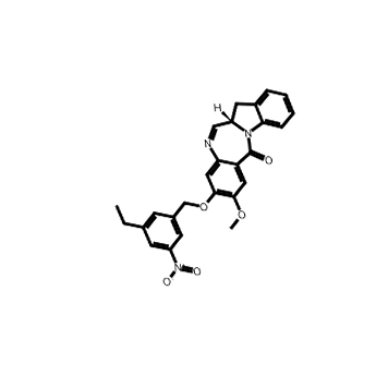 CCc1cc(COc2cc3c(cc2OC)C(=O)N2c4ccccc4C[C@H]2C=N3)cc([N+](=O)[O-])c1